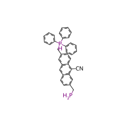 N#Cc1c2ccc(C[PH](c3ccccc3)(c3ccccc3)c3ccccc3)cc2cc2ccc(CP)cc12